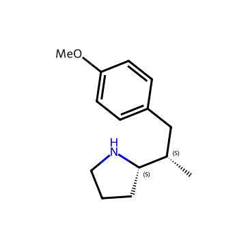 COc1ccc(C[C@H](C)[C@@H]2CCCN2)cc1